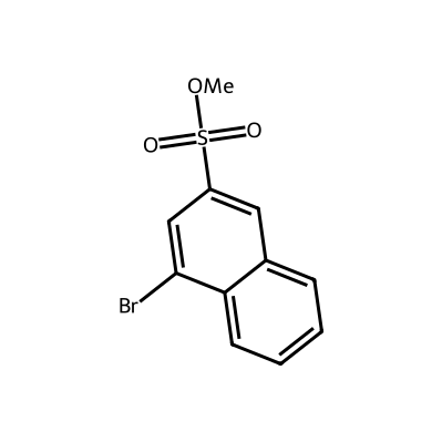 COS(=O)(=O)c1cc(Br)c2ccccc2c1